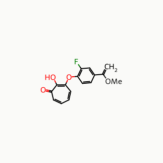 C=C(OC)c1ccc(Oc2ccccc(=O)c2O)c(F)c1